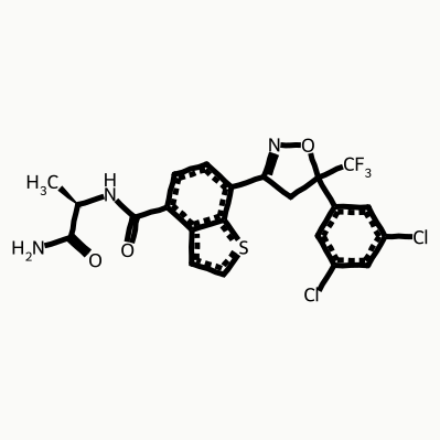 C[C@@H](NC(=O)c1ccc(C2=NOC(c3cc(Cl)cc(Cl)c3)(C(F)(F)F)C2)c2sccc12)C(N)=O